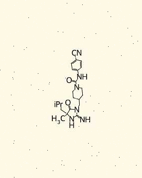 CC(C)CC1(C)NC(=N)N(CC2CCN(C(=O)Nc3ccc(C#N)cc3)CC2)C1=O